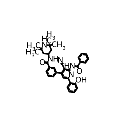 CC1(C)CC(NC(=O)c2cccc(-c3cc(-c4ccccc4O)nc(NC(=O)c4ccccc4)c3C#N)c2)CC(C)(C)N1